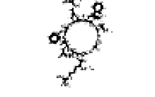 CC(=O)N[C@@H](CCCNC(=N)N)C(=O)N[C@H]1CCCC(=O)NCC[C@@H](C(N)=O)NC(=O)[C@H](Cc2c[nH]c3ccccc23)NC(=O)[C@H](CCCNC(=N)N)NC(=O)[C@@H](Cc2ccccc2)NC(=O)[C@H](CC(N)=O)NC1O